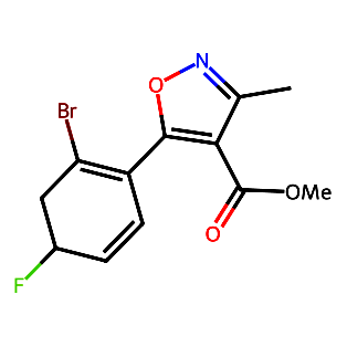 COC(=O)c1c(C)noc1C1=C(Br)CC(F)C=C1